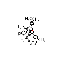 CC(C)CC1=Cc2c(-c3ccc(C(C)C)cc3)cccc2[CH]1[Ti+2]1([CH]2C(CC(C)C)=Cc3c(-c4ccc(C(C)C)cc4)cccc32)[CH]2CCCC[CH]21.[Cl-].[Cl-]